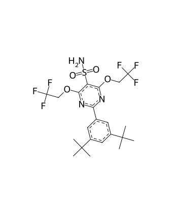 CC(C)(C)c1cc(-c2nc(OCC(F)(F)F)c(S(N)(=O)=O)c(OCC(F)(F)F)n2)cc(C(C)(C)C)c1